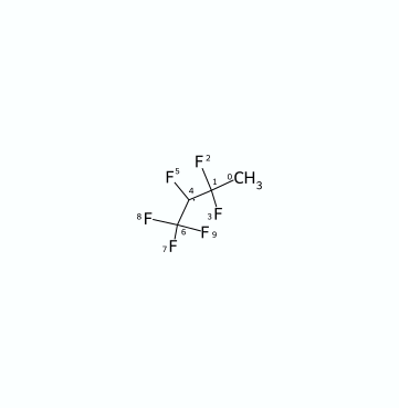 CC(F)(F)[C](F)C(F)(F)F